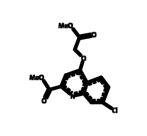 COC(=O)COc1cc(C(=O)OC)nc2cc(Cl)ccc12